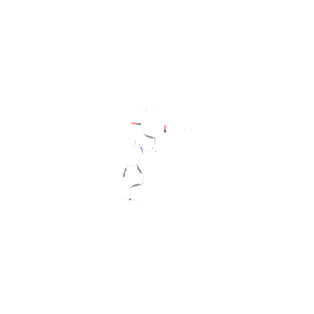 COC(=O)c1nc(-c2ccc(C(F)(F)F)cc2)[nH]c1C(=O)OC